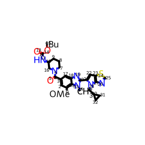 COc1cc(C(=O)N2CCCC(NC(=O)OC(C)(C)C)C2)cc2nc(-c3cc4scnc4n3CC3CC3)n(C)c12